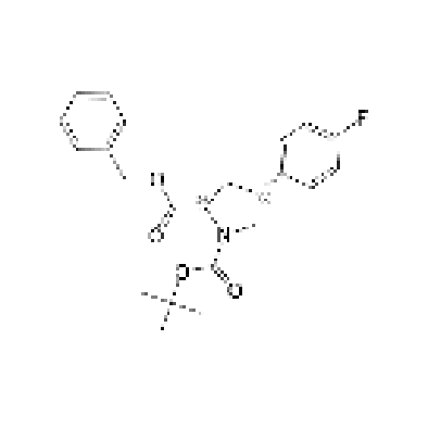 CC(C)(C)OC(=O)N1C[C@@H](c2ccc(F)cc2)C[C@H]1C(=O)OCc1ccccc1